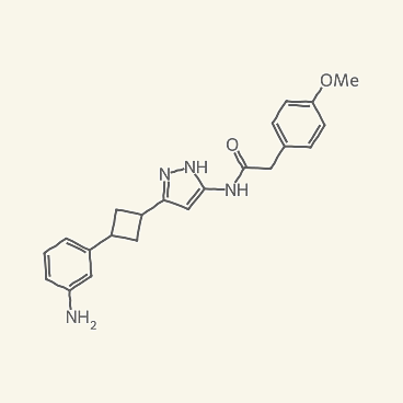 COc1ccc(CC(=O)Nc2cc(C3CC(c4cccc(N)c4)C3)n[nH]2)cc1